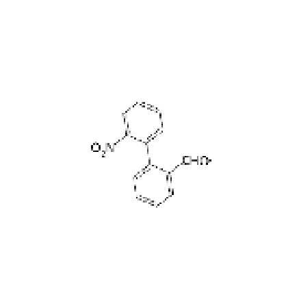 O=[C]c1ccccc1-c1ccccc1[N+](=O)[O-]